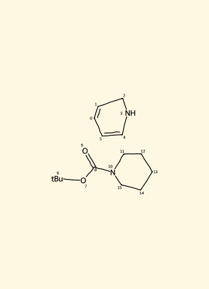 C1=CCNC=C1.CC(C)(C)OC(=O)N1CCCCC1